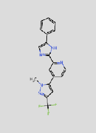 Cn1nc(C(F)(F)F)cc1-c1ccnc(-c2ncc(-c3ccccc3)[nH]2)c1